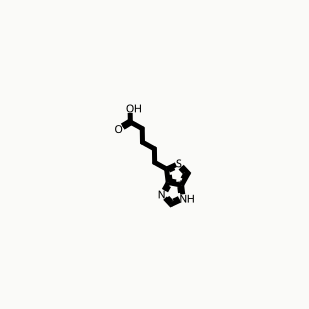 O=C(O)CCCCc1scc2[nH]cnc12